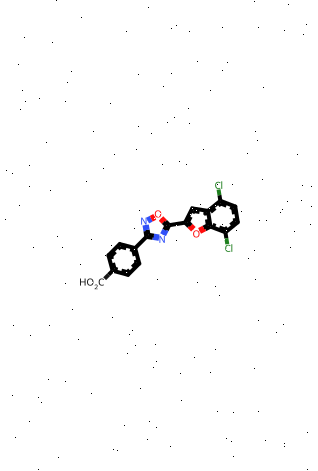 O=C(O)c1ccc(-c2noc(-c3cc4c(Cl)ccc(Cl)c4o3)n2)cc1